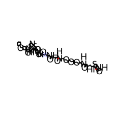 Cc1cc(Oc2ccccc2)ccc1N1C(=O)Nc2c(C(=O)NC3CCCN(C(=O)/C=C/CNC(=O)CCCC(=O)NCCCOCCOCCOCCCNC(=O)CCCCC4SCC5NC(=O)NC54)C3)sc3nccc1c23